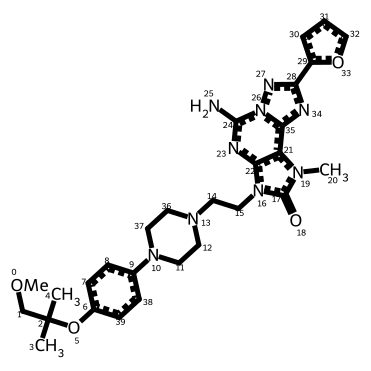 COCC(C)(C)Oc1ccc(N2CCN(CCn3c(=O)n(C)c4c3nc(N)n3nc(-c5ccco5)nc43)CC2)cc1